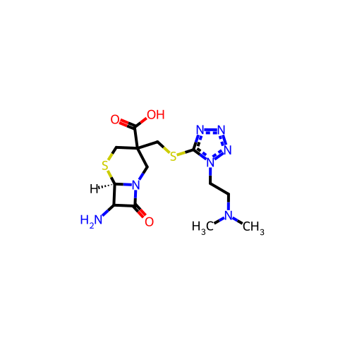 CN(C)CCn1nnnc1SCC1(C(=O)O)CS[C@@H]2C(N)C(=O)N2C1